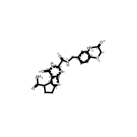 NC(=O)C1CCc2sc3nc(C(=O)NCc4ccc5c(c4)NC(=O)CO5)[nH]c(=O)c3c21